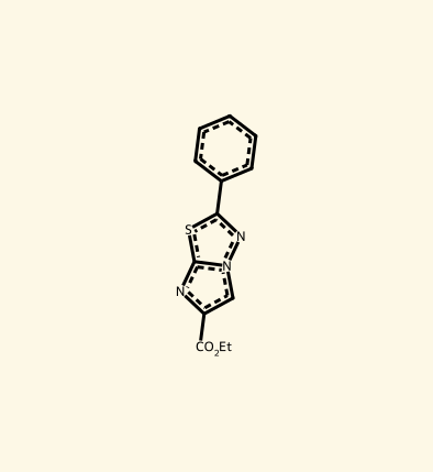 CCOC(=O)c1cn2nc(-c3ccccc3)sc2n1